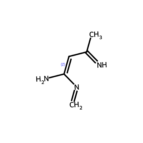 C=N/C(N)=C\C(C)=N